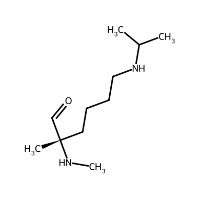 CN[C@](C)(C=O)CCCCNC(C)C